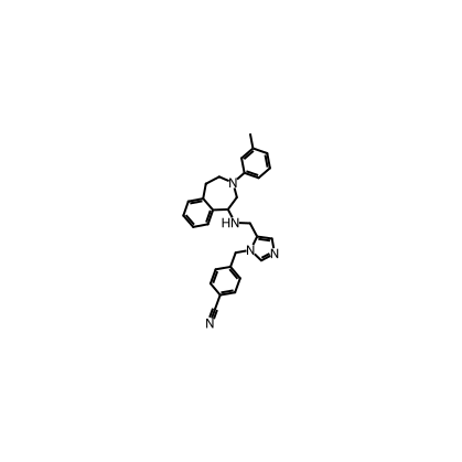 Cc1cccc(N2CCc3ccccc3C(NCc3cncn3Cc3ccc(C#N)cc3)C2)c1